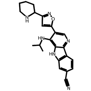 CC(C)Nc1c(-c2cc(C3CCCCN3)no2)cnc2c1[nH]c1cc(C#N)ccc12